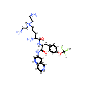 C[N+](CCN)(CCN)CCC[C@H](N)C(=O)N[C@@H](Cc1ccc(OC(F)(F)F)cc1)C(=O)Nc1cnc2ccncc2c1